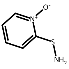 NSc1cccc[n+]1[O-]